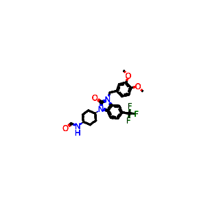 COc1ccc(Cn2c(=O)n([C@H]3CC[C@H](NC=O)CC3)c3ccc(C(F)(F)F)cc32)cc1OC